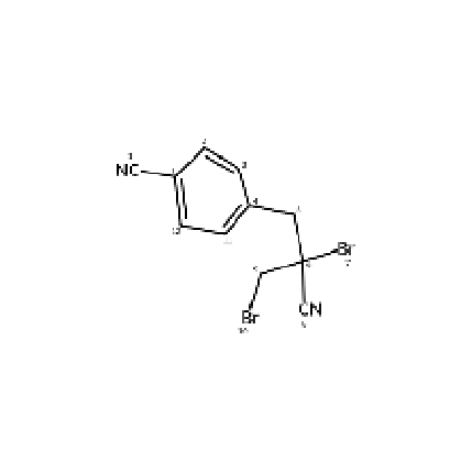 N#Cc1ccc(CC(Br)(C#N)CBr)cc1